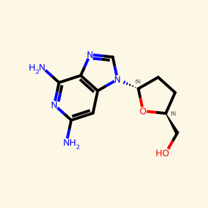 Nc1cc2c(ncn2[C@@H]2CC[C@@H](CO)O2)c(N)n1